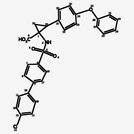 O=C(O)C1(NS(=O)(=O)c2ccc(-c3ccc(Cl)cc3)cc2)CC1c1ccc(Oc2ccccc2)cc1